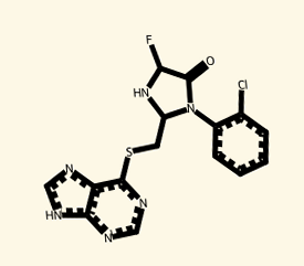 O=C1C(F)NC(CSc2ncnc3[nH]cnc23)N1c1ccccc1Cl